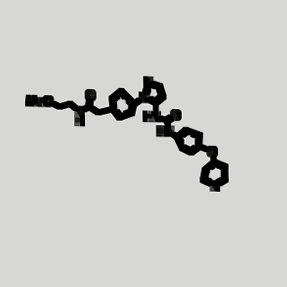 COCCNC(=O)Cc1ccc(-n2nccc2NC(=O)Nc2ccc(Oc3ccncc3)cc2)cc1